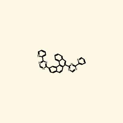 c1ccc(-c2ncnc(-c3ccc4ccc5c(-c6ncnc(-c7ccccn7)n6)cc6ccccc6c5c4c3)n2)nc1